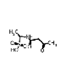 CC(=O)CC(=O)NC(C)S(=O)(=O)O